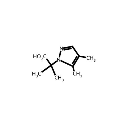 Cc1cnn(C(C)(C)C(=O)O)c1C